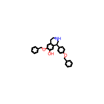 Oc1cc2c(cc1OCc1ccccc1)CCNCC2c1ccc(OCc2ccccc2)cc1